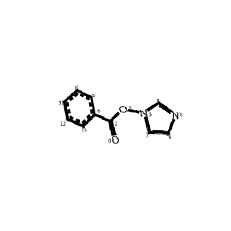 O=C(ON1C=NCC1)c1ccccc1